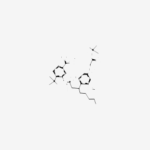 CCCCCC(CC(=O)Nc1cc(C(=O)OC)ccc1C(C)(C)C)c1ccc(OCC(=O)OC(C)(C)C)cc1OC